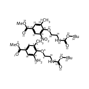 COC(=O)c1cc(C)c(OCCNC(=O)OC(C)(C)C)c(N)c1.COC(=O)c1cc(C)c(OCCNC(=O)OC(C)(C)C)c([N+](=O)[O-])c1